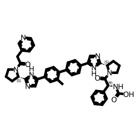 Cc1cc(-c2cnc([C@@H]3CCCN3C(=O)Cc3cccnc3)[nH]2)ccc1-c1ccc(-c2cnc([C@@H]3CCCN3C(=O)[C@H](NC(=O)O)c3ccccc3)[nH]2)cc1